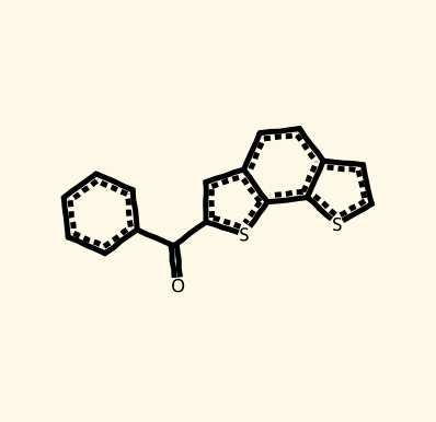 O=C(c1ccccc1)c1cc2ccc3ccsc3c2s1